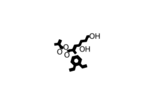 C=C(C)C(=O)OC(=O)C(C)=CC(O)CCCO.C=Cc1ccccc1C=C